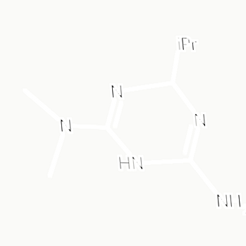 CC(C)C1N=C(N)NC(N(C)C)=N1